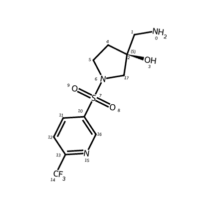 NC[C@@]1(O)CCN(S(=O)(=O)c2ccc(C(F)(F)F)nc2)C1